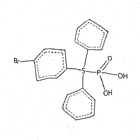 O=P(O)(O)S(c1ccccc1)(c1ccccc1)c1ccc(Br)cc1